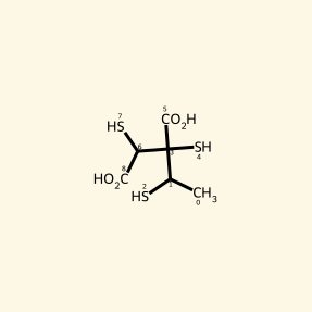 CC(S)C(S)(C(=O)O)C(S)C(=O)O